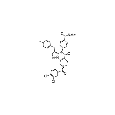 CNC(=O)c1ccc(-n2c(=O)c3c(n4ncc(Cc5ccc(C)cc5)c24)CN(C(=O)c2ccc(Cl)c(Cl)c2)CC3)cc1